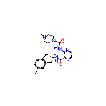 Cc1ccc2c(c1)CC(NC(=O)c1nccnc1NC(=O)N1CCN(C)CC1)C2